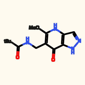 COc1[nH]c2cn[nH]c2c(=O)c1CNC(=O)C(C)(C)C